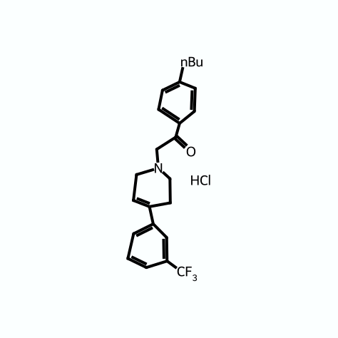 CCCCc1ccc(C(=O)CN2CC=C(c3cccc(C(F)(F)F)c3)CC2)cc1.Cl